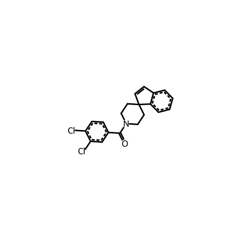 O=C(c1ccc(Cl)c(Cl)c1)N1CCC2(C=Cc3ccccc32)CC1